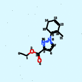 CCOC(=O)c1ccn(C2=C(C)C=CCC2)n1